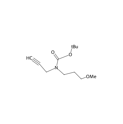 C#CCN(CCCOC)C(=O)OC(C)(C)C